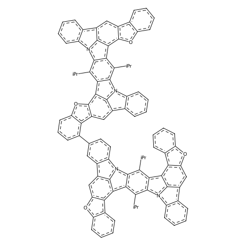 CC(C)c1c2c3c4oc5cccc(-c6ccc7c(c6)c6cc8oc9ccccc9c8c8c9c(C(C)C)c%10c(c(C(C)C)c9n7c68)c6c7c(cc8c9ccccc9n%10c86)oc6ccccc67)c5c4cc4c5ccccc5n(c2c(C(C)C)c2c5c6oc7ccccc7c6cc6c7ccccc7n(c12)c65)c43